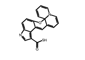 O=C(S)C1=c2c(ccc3c2=CC2=CC=CN4C=CC=CC24O3)N=C1